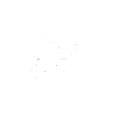 Cc1nc2c(N3CCOCC3)cc(-c3cc(-c4[nH]nnc4C(N)=O)c(F)cc3C)cn2n1